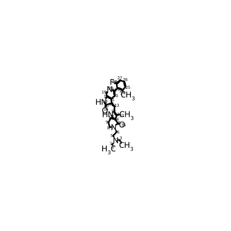 CCN(CC)CCN1CCc2[nH]c(/C=C3\C(=O)Nc4cnc(-c5c(C)cccc5F)cc43)c(C)c2C1=O